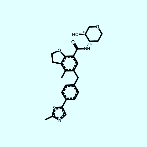 Cc1ncc(-c2ccc(Cc3cc(C(=O)N[C@H]4CCOC[C@@H]4O)c4c(c3C)CCO4)cc2)s1